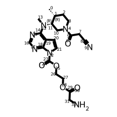 C[C@@H]1CCN(C(=O)CC#N)C[C@@H]1N(C)c1ncnc2c1ccn2C(=O)OCCOC(=O)CN